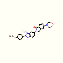 CCCOc1ccc(C2Nc3ccc(N4Cc5cc(N6CCOCC6)ccc5C4=O)cc3N2C)cc1